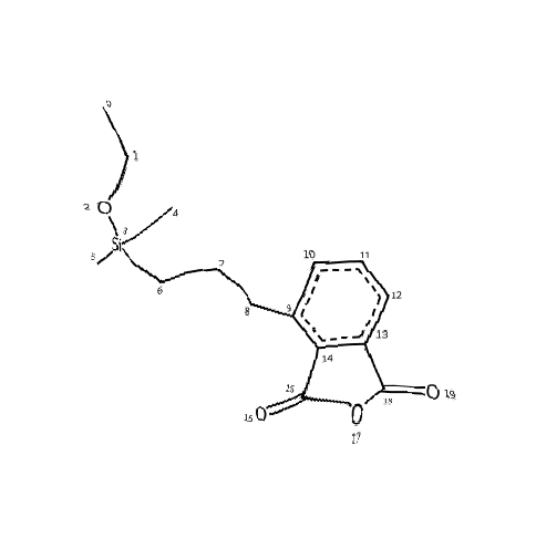 CCO[Si](C)(C)CCCc1cccc2c1C(=O)OC2=O